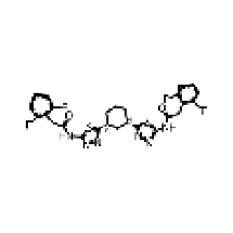 O=C(Cc1c(F)cccc1F)Nc1nnc([C@H]2CCC[C@H](c3nnc(NC(=O)Cc4c(F)cccc4F)s3)C2)s1